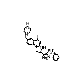 Cc1c(C(=O)Nc2cc(F)c3cc(CN4CCNCC4)ccc3n2)nnn1-c1ccccc1C(F)(F)F